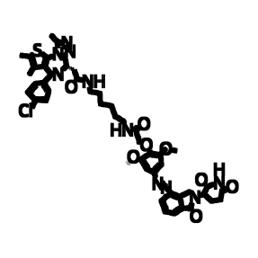 COc1cc(/N=N/c2cccc3c2CN(C2CCC(=O)NC2=O)C3=O)cc(OC)c1OCC(=O)NCCCCCCNC(=O)C[C@@H]1N=C(c2ccc(Cl)cc2)c2c(sc(C)c2C)-n2c(C)nnc21